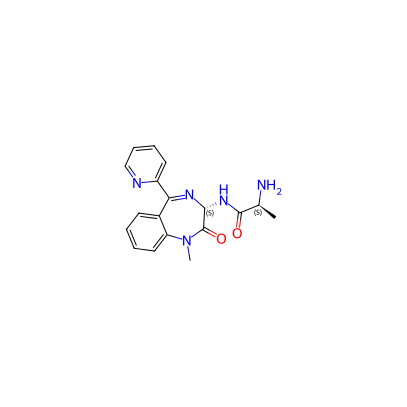 C[C@H](N)C(=O)N[C@H]1N=C(c2ccccn2)c2ccccc2N(C)C1=O